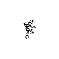 CCn1nc(C)cc1N(C1CCC1)S(=O)(=O)c1ccc(OCC2CCOCC2)c(C(=O)O)c1